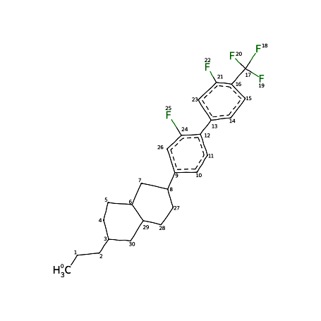 CCCC1CCC2CC(c3ccc(-c4ccc(C(F)(F)F)c(F)c4)c(F)c3)CCC2C1